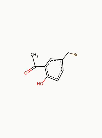 CC(=O)c1cc(CBr)ccc1O